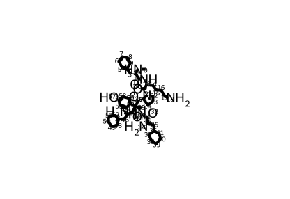 CN[C@@H](Cc1ccccc1)C(=O)N[C@@H](CCCCN)C(=O)N1CCC[C@H]1C(=O)C(CNC(=O)[C@@H](N)CC1CCCCC1)(C(=O)[C@H](N)CC1CCCCC1)c1ccc(O)cc1